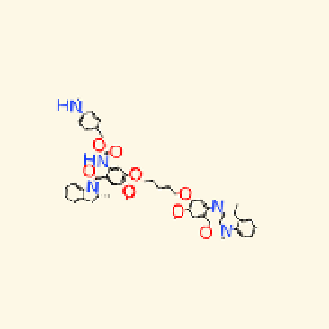 CCc1ccccc1N(C)C/C=N\c1cc(OCCCCCOc2cc(NC(=O)OCc3ccc(NC)cc3)c(C(=O)N3c4ccccc4C[C@H]3C)cc2OC)c(OC)cc1C=O